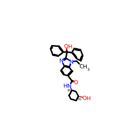 CCn1c(C(O)(c2ccccc2)c2ccccc2)nc2ccc(C(=O)N[C@@H]3CCC[C@H](O)C3)cc21